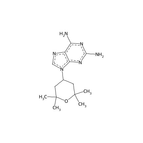 CC1(C)CC(n2cnc3c(N)nc(N)nc32)CC(C)(C)O1